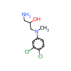 CN(CC(O)CN)c1ccc(Cl)c(Cl)c1